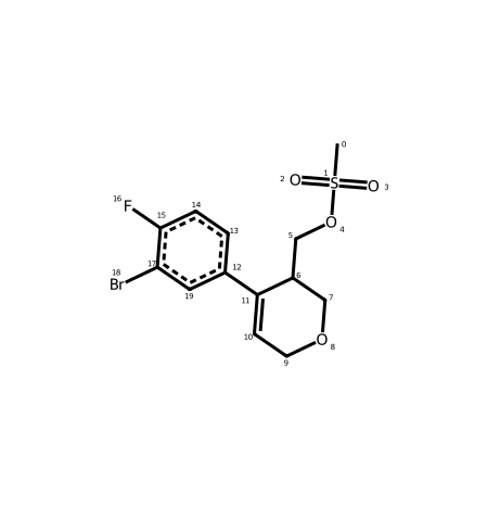 CS(=O)(=O)OCC1COCC=C1c1ccc(F)c(Br)c1